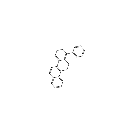 C1=C2C(=C(c3ccccc3)CC1)CCc1c2ccc2ccccc12